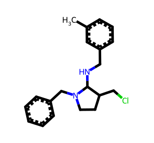 Cc1cccc(CNC2C(CCl)CCN2Cc2ccccc2)c1